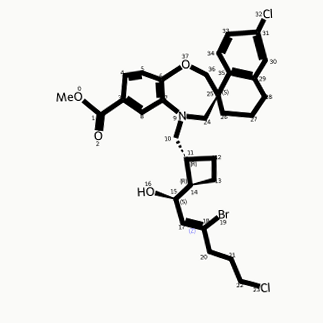 COC(=O)c1ccc2c(c1)N(C[C@@H]1CC[C@H]1[C@H](O)/C=C(\Br)CCCCl)C[C@@]1(CCCc3cc(Cl)ccc31)CO2